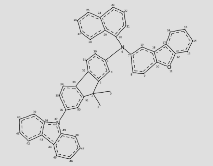 CC1(C)c2cc(N(c3ccc4oc5ccccc5c4c3)c3cccc4ccccc34)ccc2-c2ccc(-n3c4ccccc4c4ccccc43)cc21